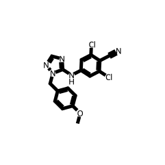 COc1ccc(Cn2ncnc2Nc2cc(Cl)c(C#N)c(Cl)c2)cc1